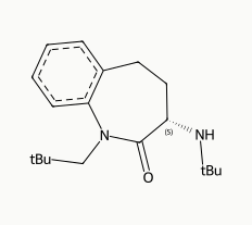 CC(C)(C)CN1C(=O)[C@@H](NC(C)(C)C)CCc2ccccc21